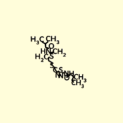 C=C(CCSCCc1nnc(NC(=O)CC(C)CC)s1)SC(=C)NC(=O)CC(CC)CC